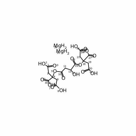 O=C(O)CC(CC(=O)O)(OC(=O)CC(O)C(=O)OC(CC(=O)O)(CC(=O)O)C(=O)O)C(=O)O.[MgH2].[MgH2]